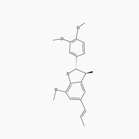 C/C=C/c1cc(OC)c2c(c1)[C@H](C)[C@@H](c1ccc(OC)c(OC)c1)O2